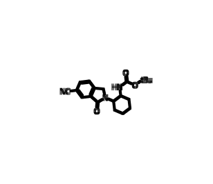 CC(C)(C)OC(=O)NC1CCCCC1N1Cc2ccc(C#N)cc2C1=O